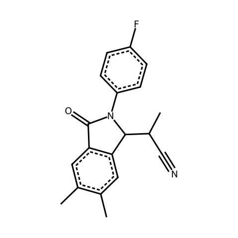 Cc1cc2c(cc1C)C(C(C)C#N)N(c1ccc(F)cc1)C2=O